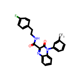 O=C(NCCc1ccc(F)cc1)c1nc2ccccc2n(-c2cccc(C(F)(F)F)c2)c1=O